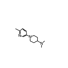 Cc1ccc(N2CCC(N(C)C)CC2)cn1